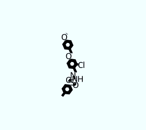 COc1ccc(COc2ccc(/C=N/NS(=O)(=O)c3ccc(C)cc3)c(Cl)c2)cc1